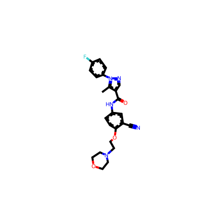 Cc1c(C(=O)Nc2ccc(OCCN3CCOCC3)c(C#N)c2)cnn1-c1ccc(F)cc1